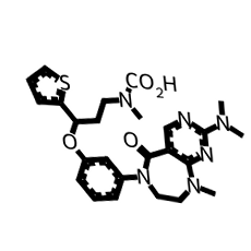 CN(CCC(Oc1cccc(N2CCN(C)c3nc(N(C)C)ncc3C2=O)c1)c1cccs1)C(=O)O